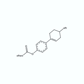 CCCCCC(=O)Oc1ccc(C2=CCC(CCC)CC2)cc1